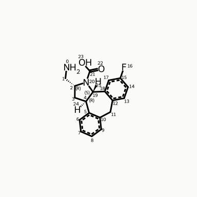 NC[C@H]1C[C@@H]2c3ccccc3Cc3ccc(F)cc3[C@H]2N1C(=O)O